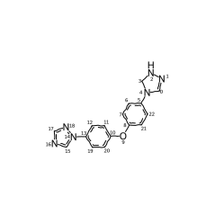 C1=NNCN1c1ccc(Oc2ccc(-n3cncn3)cc2)cc1